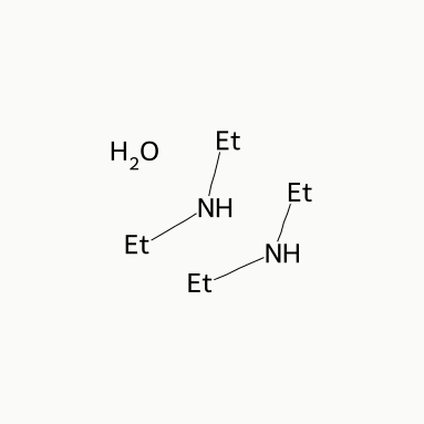 CCNCC.CCNCC.O